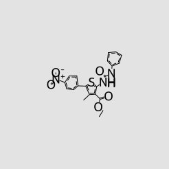 CCOC(=O)c1c(NC(=O)Nc2ccccc2)sc(-c2ccc([N+](=O)[O-])cc2)c1C